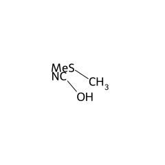 CSC.N#CO